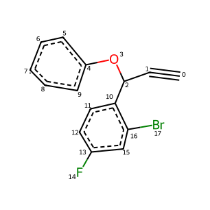 C#CC(Oc1cc[c]cc1)c1ccc(F)cc1Br